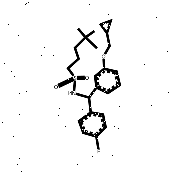 CC(C)(C)CCCS(=O)(=O)NC(c1ccc(F)cc1)c1cccc(OCC2CC2)c1